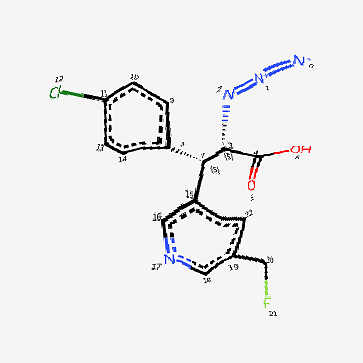 [N-]=[N+]=N[C@H](C(=O)O)[C@@H](c1ccc(Cl)cc1)c1cncc(CF)c1